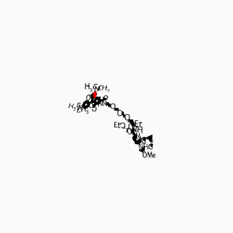 CCOC(=O)[C@](CC)(CCOCCOCCOCCNC(=O)c1ccc2c(c1)C(=O)OC21c2ccc(N(C)C)cc2Oc2cc(N(C)C)ccc21)NC(=O)c1ccc(N2CC(OC)C2)c(OC[C@H]2C[C@@H]2CO)n1